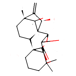 C=C1[C@H]2CCC3[C@@]45C(=O)O[C@@](O)([C@@H](O)C4C(C)(C)CC[C@@H]5O)[C@@]3([C@@H]1O)[C@@H]2O